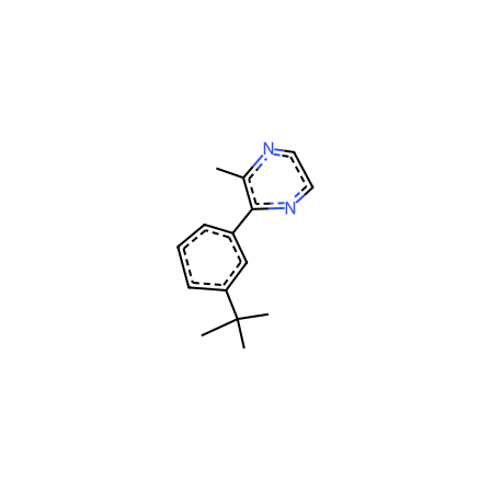 Cc1nccnc1-c1cccc(C(C)(C)C)c1